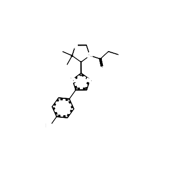 CC(C)[CH]C(=O)N1CSC(C)(C)C1c1ncc(-c2ccc(Br)cc2)[nH]1